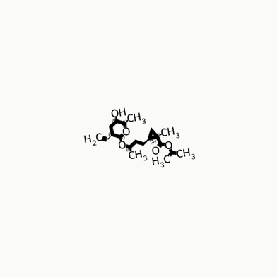 C=C[C@@H]1C[C@@H](O)[C@H](C)O[C@H]1O[C@H](C)CC[C@H]1C[C@@]1(C)C(=O)OC(C)C